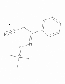 C[Si](C)(C)ON=C(CC#N)c1ccccc1